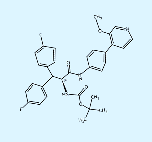 COc1cnccc1-c1ccc(NC(=O)[C@@H](NC(=O)OC(C)(C)C)C(c2ccc(F)cc2)c2ccc(F)cc2)cc1